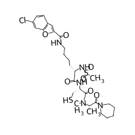 C[C@@H](C(=O)N1CCCCC1)N(C)C(=O)[C@H](CS)NC(=O)[C@H](CCCCNC(=O)c1cc2ccc(Cl)cc2o1)NS(C)(=O)=O